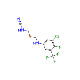 N#CNCSCNc1cc(Cl)c(F)c(C(F)(F)F)c1